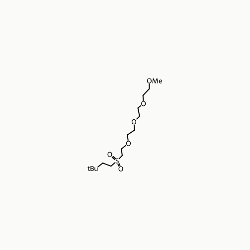 COCCOCCOCCOCCS(=O)(=O)CCC(C)(C)C